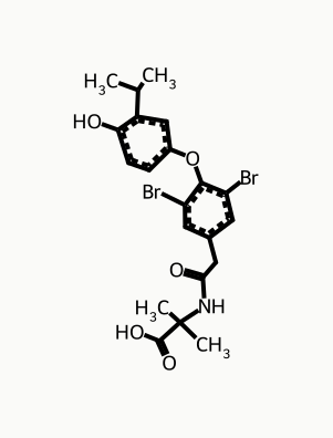 CC(C)c1cc(Oc2c(Br)cc(CC(=O)NC(C)(C)C(=O)O)cc2Br)ccc1O